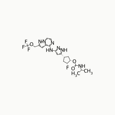 CC(C)NC(=O)O[C@H]1C[C@@H](c2cc(Nc3nccn4nc(COC(F)(F)F)cc34)n[nH]2)C[C@H]1F